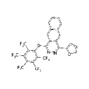 FC(F)(F)c1c(Oc2nnc(-c3ccco3)c3cc4ccccc4cc23)c(C(F)(F)F)c(C(F)(F)F)c(C(F)(F)F)c1C(F)(F)F